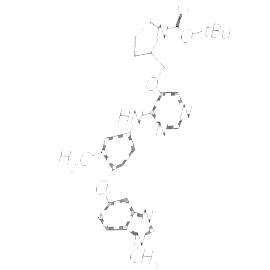 Cc1cc(Nc2ncncc2OCC2CCCN2C(=O)OC(C)(C)C)ccc1Oc1ccc2c(c1)ncn2C